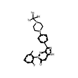 [2H]C([2H])([2H])N1CCN(c2ccc(-c3n[nH]c4cc(=O)n(-c5c(C)cccc5F)nc34)cc2)CC1